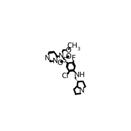 COCN(c1ccncn1)S(=O)(=O)c1cc(Cl)c(NC[C@@H]2CCN3CCCC23)cc1F